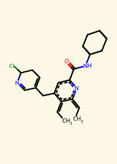 C/C=c1/c(CC2=CCC(Cl)N=C2)cc(C(=O)NC2CCCCC2)n/c1=C/C